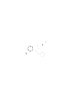 CCC(=O)c1ccc(OC(CC(N)=O)C(CO)CN2CCCC2)cc1